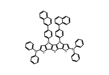 c1ccc(N(c2ccccc2)c2cc3c(s2)c2sc4c5sc(N(c6ccccc6)c6ccccc6)cc5n(-c5ccc(-c6cccc7ccccc67)cc5)c4c2n3-c2ccc(-c3ccc4ccccc4c3)cc2)cc1